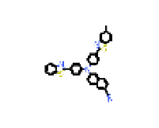 CC1C=Cc2sc(-c3ccc(N(c4ccc(-c5nc6ccccc6s5)cc4)c4ccc5cc(C#N)ccc5c4)cc3)nc2C1